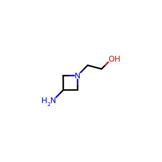 NC1CN(CCO)C1